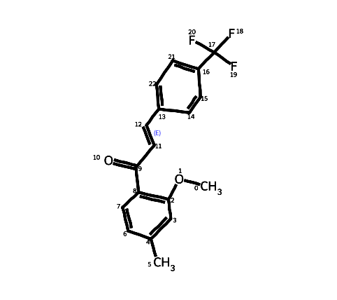 COc1cc(C)ccc1C(=O)/C=C/c1ccc(C(F)(F)F)cc1